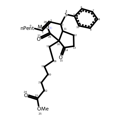 CCCCC/C=C/C(Sc1ccccc1)C1CCC(=O)C1(CCCCCCC(=O)OC)C(=O)OC